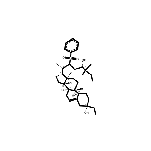 CCC(C)(C)[C@@H](O)CC([C@@H](C)[C@H]1CC[C@H]2[C@@H]3CC=C4C[C@](O)(CC)CC[C@@H]4[C@H]3CC[C@]12C)S(=O)(=O)c1ccccc1